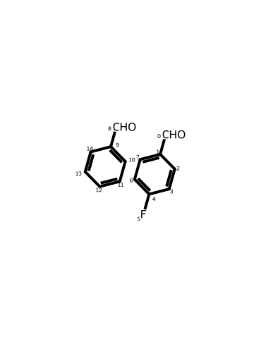 O=Cc1ccc(F)cc1.O=Cc1ccccc1